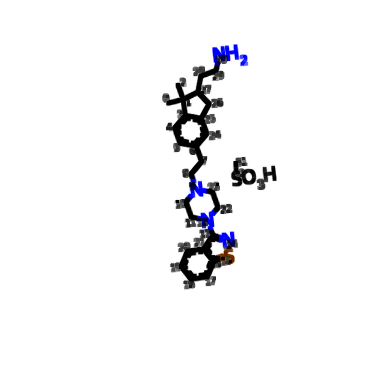 CC1(C)c2ccc(CCN3CCN(c4nsc5ccccc45)CC3)cc2CC1CCN.CS(=O)(=O)O